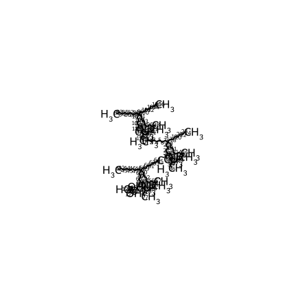 CCCCCCCCC(CCCCCCCC)(CCCCCCCC)CCCC(CC)CNCC(CC)CCCC.CCCCCCCCC(CCCCCCCC)(CCCCCCCC)CCCC(CC)CNCC(CC)CCCC.CCCCCCCCC(CCCCCCCC)(CCCCCCCC)CCCC(CC)CNCC(CC)CCCC.O=P(O)(O)O